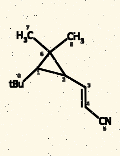 CC(C)(C)C1C(C=CC#N)C1(C)C